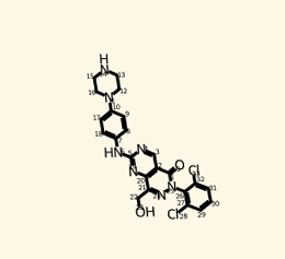 O=c1c2cnc(Nc3ccc(N4CCNCC4)cc3)nc2c(CO)nn1-c1c(Cl)cccc1Cl